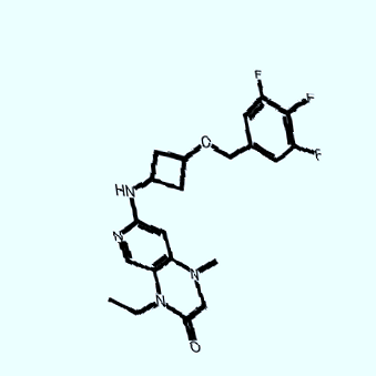 CCN1C(=O)CN(C)c2cc(NC3CC(OCc4cc(F)c(F)c(F)c4)C3)ncc21